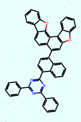 c1ccc(-c2nc(-c3ccccc3)nc(-c3ccc(-c4cc5oc6ccccc6c5c5c4ccc4c6ccccc6oc45)c4ccccc34)n2)cc1